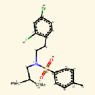 COC(CN(CCc1ccc(Br)cc1F)S(=O)(=O)c1ccc(C)cc1)OC